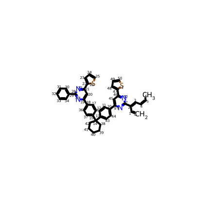 C=C/C(=C\C=C/C)c1nc(-c2ccc(C3(c4ccc(-c5cc(-c6cccs6)nc(-c6ccccc6)n5)cc4)CCCCC3)cc2)cc(-c2cccs2)n1